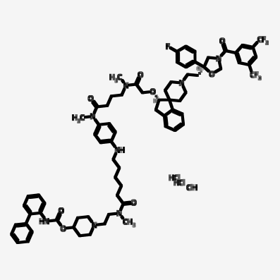 CN(CCN1CCC(OC(=O)Nc2ccccc2-c2ccccc2)CC1)C(=O)CCCCCNc1ccc(N(C)C(=O)CCCN(C)C(=O)CO[C@H]2Cc3ccccc3C23CCN(CC[C@]2(c4ccc(F)cc4)CN(C(=O)c4cc(C(F)(F)F)cc(C(F)(F)F)c4)CO2)CC3)cc1.Cl.Cl.Cl